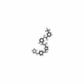 Cc1ccc(NC(=O)c2cccc(C(F)(F)F)c2)cc1NC(=O)c1cnc(Nc2ccc(CN3CCCC3)cn2)s1